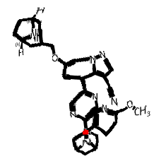 COc1ccc(CN2C3CC2CN(c2cnc(-c4cc(OCC5C[C@H]6CC[C@@H](C5)N6)cn5ncc(C#N)c45)cn2)C3)cn1